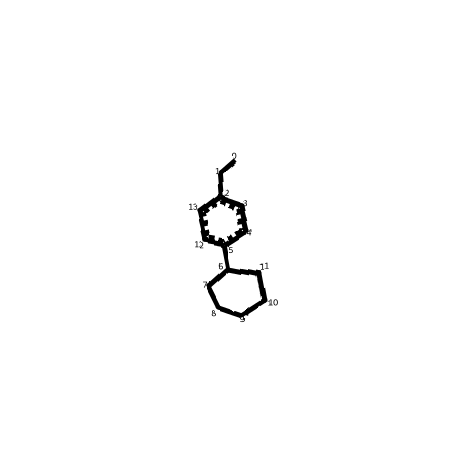 CCc1ccc(C2CC[CH]CC2)cc1